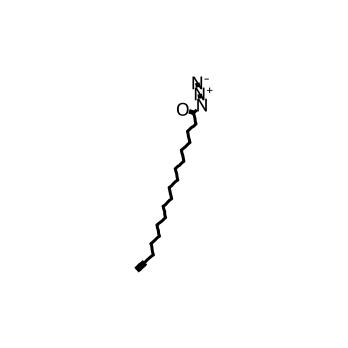 C#CCCCCCCCCCCCCCCCC(=O)N=[N+]=[N-]